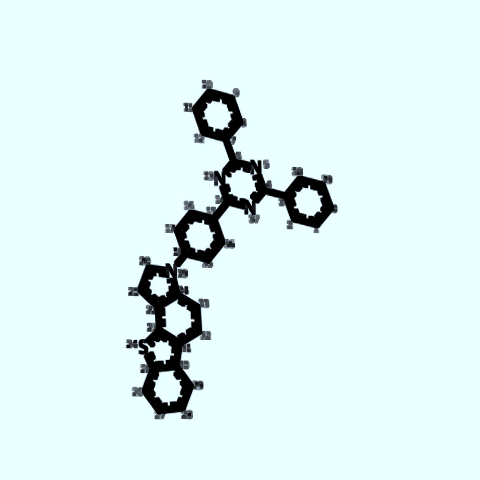 c1ccc(-c2nc(-c3ccccc3)nc(-c3ccc(-n4ccc5c6sc7ccccc7c6ccc54)cc3)n2)cc1